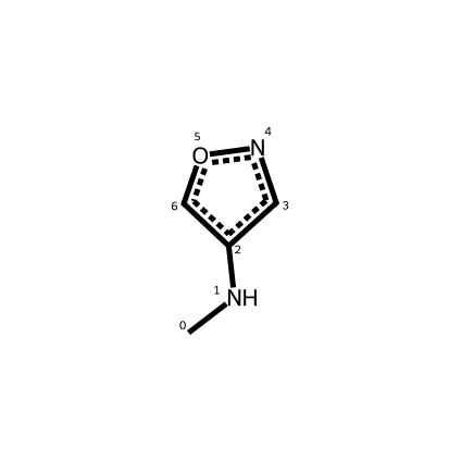 CNc1cnoc1